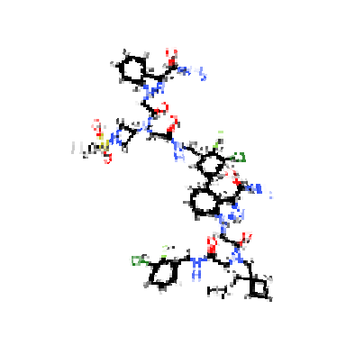 CCC1(CN(CC(=O)NCc2cccc(Cl)c2F)C(=O)Cn2nc(C(N)=O)c3c(-c4cc(Cl)c(F)c(CNC(=O)CN(C(=O)Cn5nc(C(N)=O)c6ccccc65)C5CN(S(C)(=O)=O)C5)c4)cccc32)CCC1